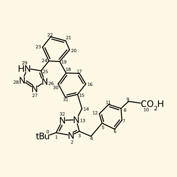 CC(C)(C)c1nc(Cc2ccc(CC(=O)O)cc2)n(Cc2ccc(-c3ccccc3-c3nnn[nH]3)cc2)n1